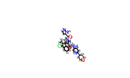 Cn1nccc1C(=O)/N=C/C(C(=O)Nc1ccc(C2CCOCC2)nc1)C([SiH3])(c1ccccc1Cl)C1(C)CC1